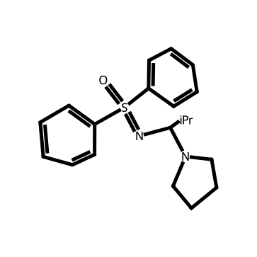 CC(C)C(N=S(=O)(c1ccccc1)c1ccccc1)N1CCCC1